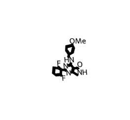 COc1ccc(CNc2nc(-c3c(F)cccc3F)nc3c2C(=O)NC3)cc1